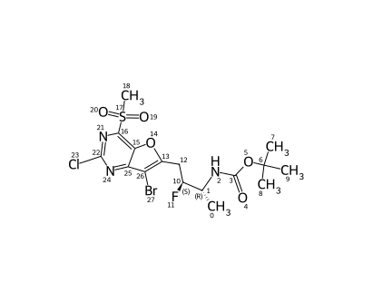 C[C@@H](NC(=O)OC(C)(C)C)[C@@H](F)Cc1oc2c(S(C)(=O)=O)nc(Cl)nc2c1Br